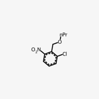 CCCOCc1c(Cl)cccc1[N+](=O)[O-]